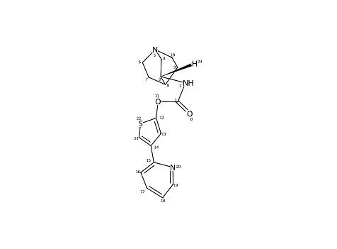 O=C(N[C@H]1CN2CCC1CC2)Oc1cc(-c2ccccn2)cs1